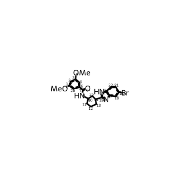 COc1cc(OC)cc(C(=O)NC2CCCC(c3nc4cc(Br)ccc4[nH]3)C2)c1